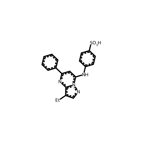 CCc1cnn2c(Nc3ccc(S(=O)(=O)O)cc3)cc(-c3ccccc3)nc12